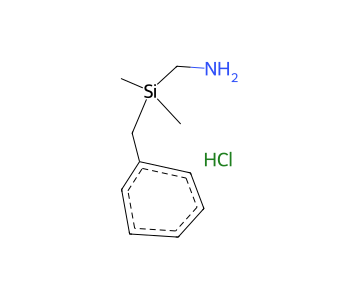 C[Si](C)(CN)Cc1ccccc1.Cl